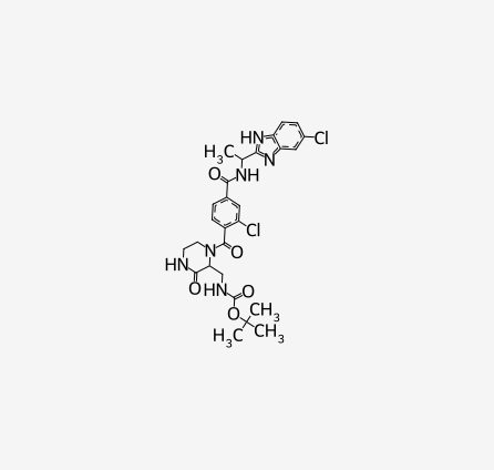 CC(NC(=O)c1ccc(C(=O)N2CCNC(=O)C2CNC(=O)OC(C)(C)C)c(Cl)c1)c1nc2cc(Cl)ccc2[nH]1